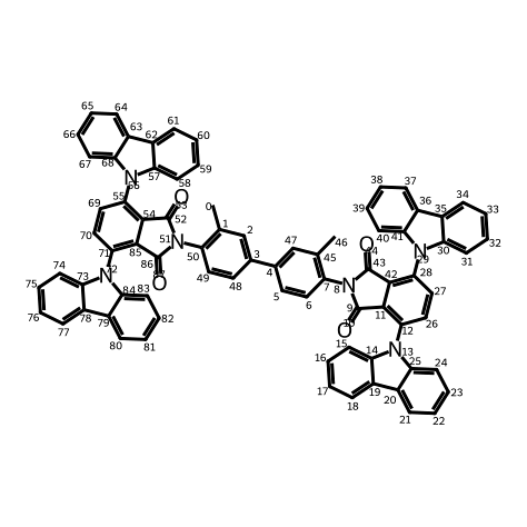 Cc1cc(-c2ccc(N3C(=O)c4c(-n5c6ccccc6c6ccccc65)ccc(-n5c6ccccc6c6ccccc65)c4C3=O)c(C)c2)ccc1N1C(=O)c2c(-n3c4ccccc4c4ccccc43)ccc(-n3c4ccccc4c4ccccc43)c2C1=O